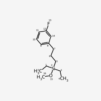 CC[Si](CC)(CCCc1cccc(F)c1)OC